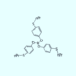 CCCSc1ccc(OB(Oc2ccc(SCCC)cc2)Oc2ccc(SCCC)cc2)cc1